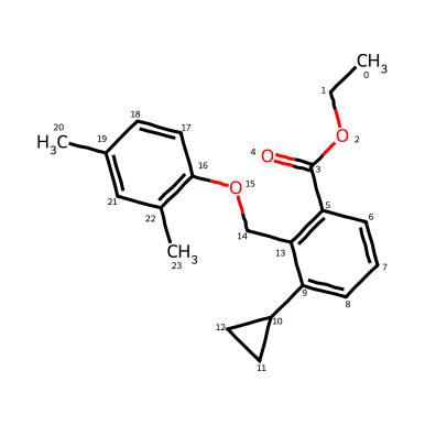 CCOC(=O)c1cccc(C2CC2)c1COc1ccc(C)cc1C